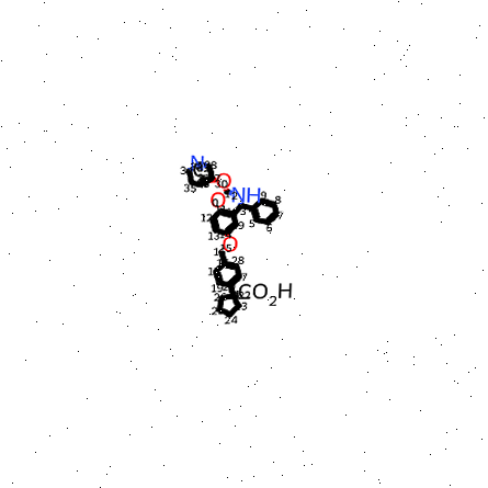 O=C(NC(c1ccccc1)c1cccc(OCc2ccc(C3(C(=O)O)CCCC3)cc2)c1)OC1CN2CCC1CC2